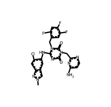 Cn1cc2cc(Nc3nc(=O)n(Cc4nccc(N)n4)c(=O)n3Cc3cc(F)c(F)cc3F)c(Cl)cc2n1